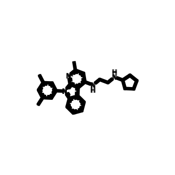 Cc1cc(C)cc(-n2c3ccccc3c3c(NCCNC4CCCC4)cc(C)nc32)c1